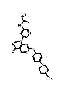 C=CC(=O)Nc1cncc(-n2cnc(=O)c3cnc(Nc4ccc(N5CCN(C)CC5)c(F)c4)nc32)c1